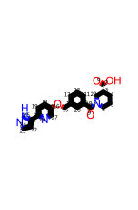 O=C(O)[C@@H]1CCCN(C(=O)c2cccc(COc3ccc(-c4ccn[nH]4)nc3)c2)C1